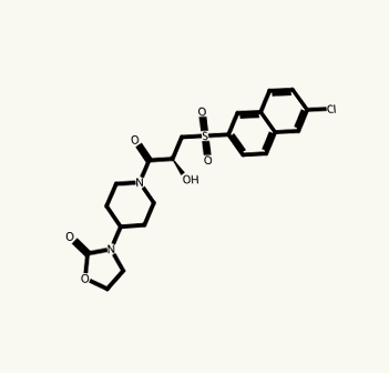 O=C([C@H](O)CS(=O)(=O)c1ccc2cc(Cl)ccc2c1)N1CCC(N2CCOC2=O)CC1